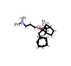 CC(C)N(CCCOC1(Cc2ccccc2)CC2CCC1(C)C2(C)C)C(C)C